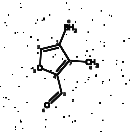 Bc1coc(C=O)c1C